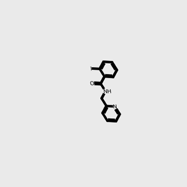 O=C(NCc1ccccn1)c1ccccc1I